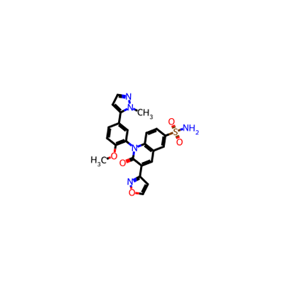 COc1ccc(-c2ccnn2C)cc1-n1c(=O)c(-c2ccon2)cc2cc(S(N)(=O)=O)ccc21